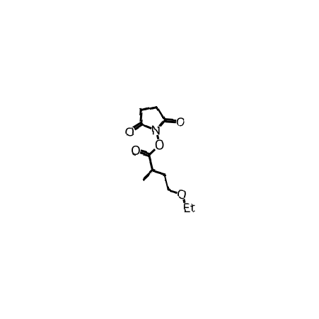 CCOCCC(C)C(=O)ON1C(=O)CCC1=O